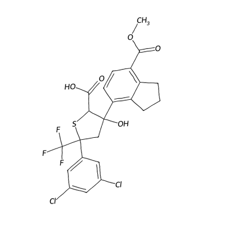 COC(=O)c1ccc(C2(O)CC(c3cc(Cl)cc(Cl)c3)(C(F)(F)F)SC2C(=O)O)c2c1CCC2